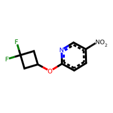 O=[N+]([O-])c1ccc(OC2CC(F)(F)C2)nc1